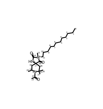 CCCCCCCCCCCC[N+]1(C)C(=O)NC2(CC(C)N(C(C)=O)C(C)(C)C2)C1=O